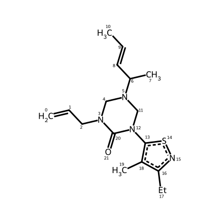 C=CCN1CN(C(C)C=CC)CN(c2snc(CC)c2C)C1=O